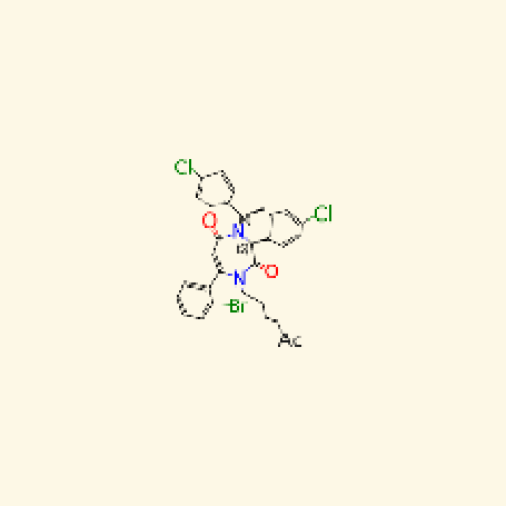 CC(=O)CCCCN1C(=O)[C@H](c2ccc(Cl)cc2)N([C@H](C)c2ccc(Cl)cc2)C(=O)C=C1c1ccccc1Br